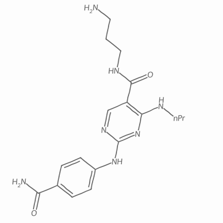 CCCNc1nc(Nc2ccc(C(N)=O)cc2)ncc1C(=O)NCCCN